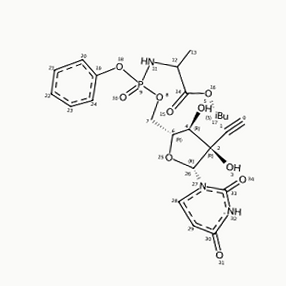 C#C[C@@]1(O)[C@H](O)[C@@H](COP(=O)(NC(C)C(=O)O[C@@H](C)CC)Oc2ccccc2)O[C@H]1n1ccc(=O)[nH]c1=O